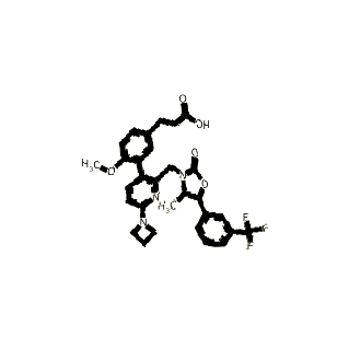 COc1ccc(CCC(=O)O)cc1-c1ccc(N2CCC2)nc1CN1C(=O)OC(c2cccc(C(F)(F)F)c2)C1C